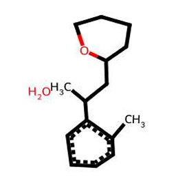 Cc1ccccc1C(C)CC1CCCCO1.O